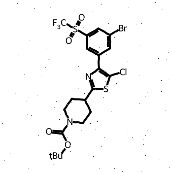 CC(C)(C)OC(=O)N1CCC(c2nc(-c3cc(Br)cc(S(=O)(=O)C(F)(F)F)c3)c(Cl)s2)CC1